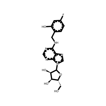 OC[C@H]1OC(n2cnc3c(NCc4ccc(F)cc4O)ncnc32)[C@H](O)[C@@H]1O